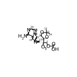 CO[C@](C#N)(COC(=O)O)[C@H]1OC(C)(C)O[C@H]1c1ccc2c(N)ncnn12